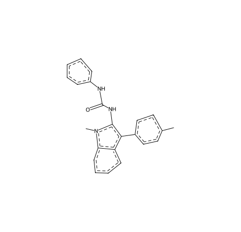 Cc1ccc(-c2c(NC(=O)Nc3ccccc3)n(C)c3ccccc23)cc1